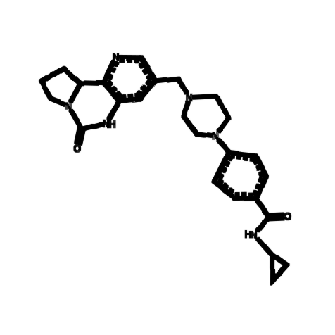 O=C(NC1CC1)c1ccc(N2CCN(Cc3cnc4c(c3)NC(=O)N3CCCC43)CC2)cc1